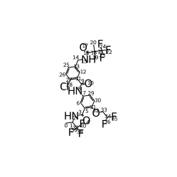 CC(NC(=O)c1cc(NC(=O)c2cc(CNC(=O)C(C)(C)C(F)(F)F)ccc2Cl)ccc1OCC(F)F)C(F)(F)F